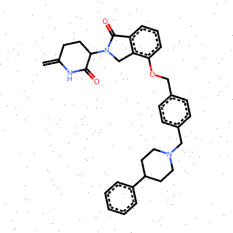 C=C1CCC(N2Cc3c(OCc4ccc(CN5CCC(c6ccccc6)CC5)cc4)cccc3C2=O)C(=O)N1